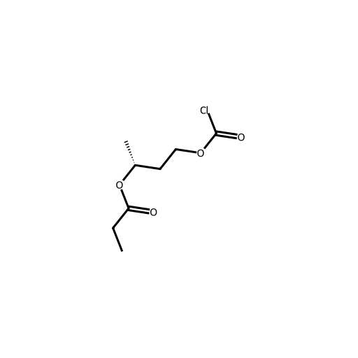 CCC(=O)O[C@H](C)CCOC(=O)Cl